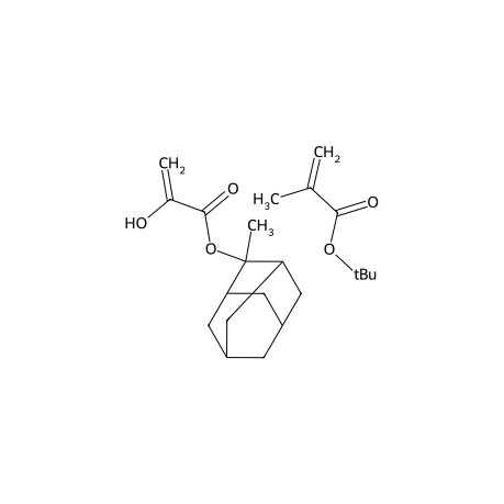 C=C(C)C(=O)OC(C)(C)C.C=C(O)C(=O)OC1(C)C2CC3CC(C2)CC1C3